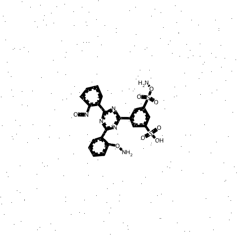 NOc1ccccc1-c1nc(-c2cc(S(=O)(=O)O)cc(S(=O)(=O)ON)c2)nc(-c2ccccc2N=O)n1